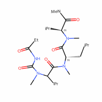 CCC(=O)NC(=O)N(C)C(C(=O)N(C)[C@@H](CC(C)C)C(=O)N(C)[C@H](C(=O)NC)C(C)C)C(C)C